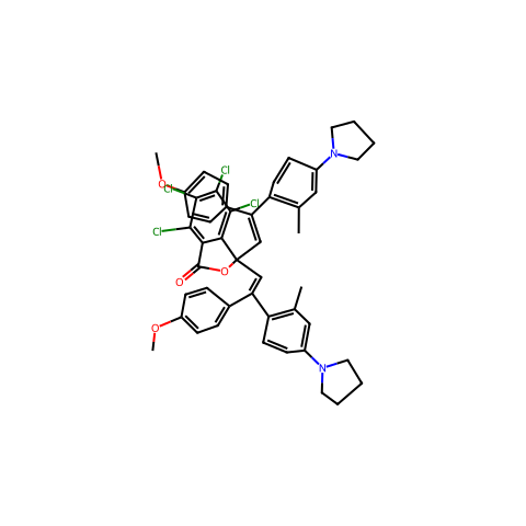 COc1ccc(/C(=C\C2(/C=C(\c3ccc(OC)cc3)c3ccc(N4CCCC4)cc3C)OC(=O)c3c(Cl)c(Cl)c(Cl)c(Cl)c32)c2ccc(N3CCCC3)cc2C)cc1